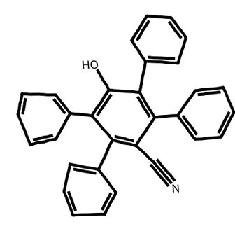 N#Cc1c(-c2ccccc2)c(-c2ccccc2)c(O)c(-c2ccccc2)c1-c1ccccc1